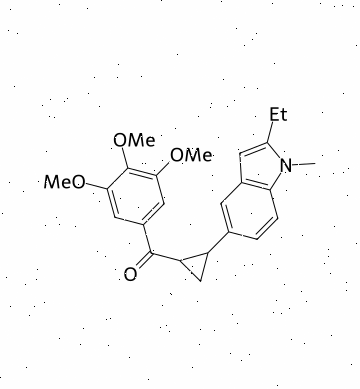 CCc1cc2cc(C3CC3C(=O)c3cc(OC)c(OC)c(OC)c3)ccc2n1C